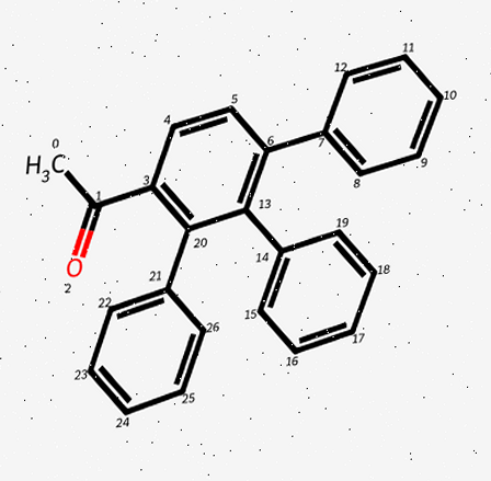 CC(=O)c1ccc(-c2ccccc2)c(-c2ccccc2)c1-c1ccccc1